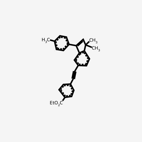 CCOC(=O)c1ccc(C#Cc2ccc3c(c2)C(c2ccc(C)cc2)=CC3(C)C)cc1